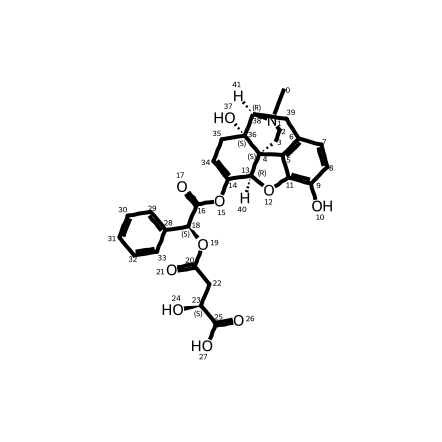 CN1CC[C@]23c4c5ccc(O)c4O[C@H]2C(OC(=O)[C@@H](OC(=O)C[C@H](O)C(=O)O)c2ccccc2)=CC[C@@]3(O)[C@H]1C5